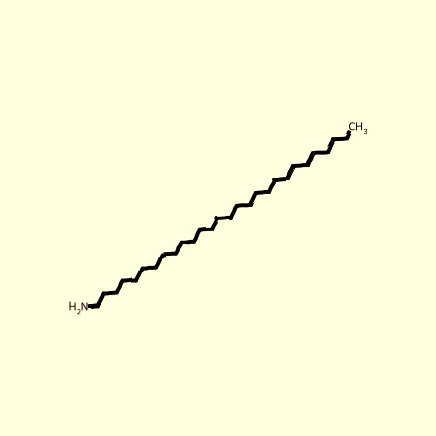 CCCCCCCCCCCCCCCCCCCCCCCCCCCCN